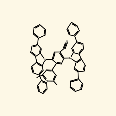 Cc1cc(-c2cc(-n3c4cc(-c5ccccc5)ccc4c4ccc(-c5ccccc5)cc43)c(C#N)cc2-n2c3cc(-c4ccccc4)ccc3c3ccc(-c4ccccc4)cc32)cc(C)n1